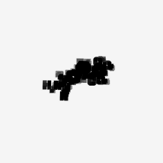 COc1cc(OC)c(C(=O)NC[C@]2(c3ccccc3)CC[C@H](N(C)C(N)=NC#N)CC2)cc1OC